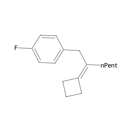 CCCCCC(Cc1ccc(F)cc1)=C1CCC1